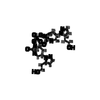 O=C1N2CC(n3nccc3CCO)=CC(C2)N1OS(=O)(=O)ON1C(=O)N2CC(n3nccc3CCO)=CC1C2